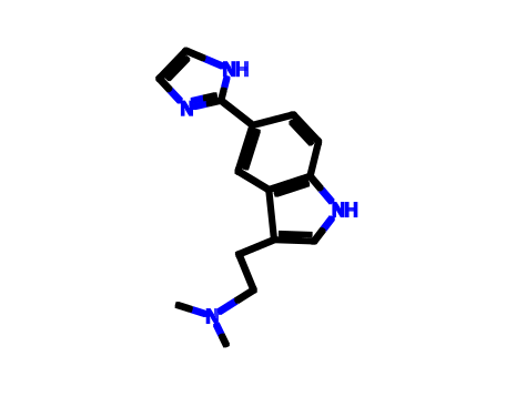 CN(C)CCc1c[nH]c2ccc(-c3ncc[nH]3)cc12